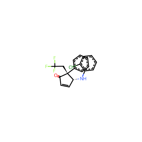 O=C1C=C[C@@H](Nc2ccccc2Cl)[C@@]1(CC(F)(F)F)c1ccccc1